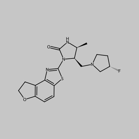 C[C@@H]1NC(=O)N(c2nc3c4c(ccc3s2)OCC4)[C@@H]1CN1CC[C@H](F)C1